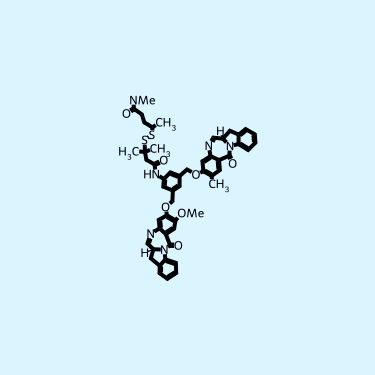 CNC(=O)CCC(C)SSC(C)(C)CC(=O)Nc1cc(COc2cc3c(cc2C)C(=O)N2c4ccccc4C[C@H]2C=N3)cc(COc2cc3c(cc2OC)C(=O)N2c4ccccc4C[C@H]2C=N3)c1